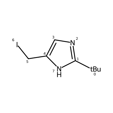 CC(C)(C)c1ncc(CI)[nH]1